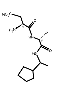 CC(NC(=O)[C@@H](C)NC(=O)[C@@H](N)CC(=O)O)C1CCCC1